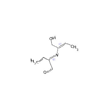 C=C/C(C=O)=N\C(=C/C)CO